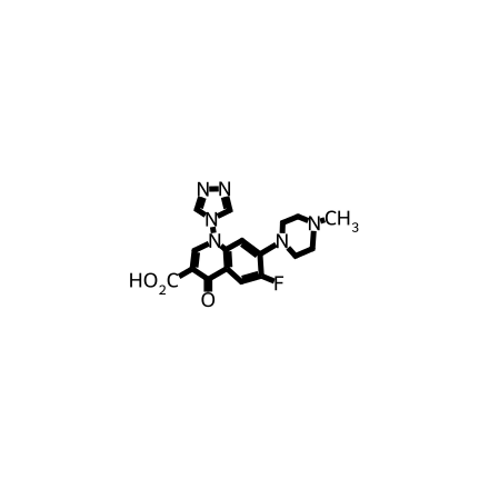 CN1CCN(c2cc3c(cc2F)c(=O)c(C(=O)O)cn3-n2cnnc2)CC1